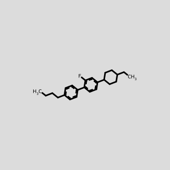 CCCCc1ccc(-c2ccc(C3CCC(CC)CC3)cc2F)cc1